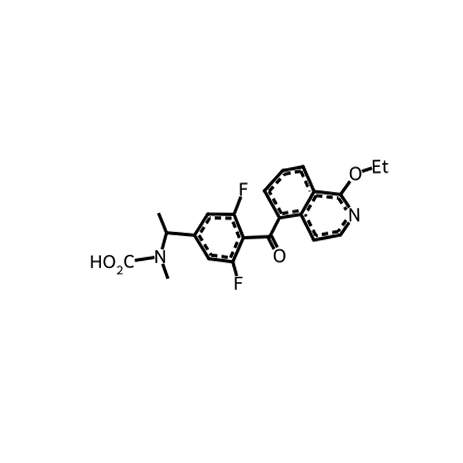 CCOc1nccc2c(C(=O)c3c(F)cc(C(C)N(C)C(=O)O)cc3F)cccc12